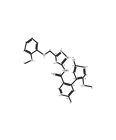 COc1ccccc1OCc1nnc(NC(=O)c2cnc(C)cc2-c2cc(Cl)ncc2OC)s1